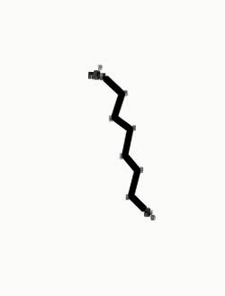 [B]CCCCCCCCCC